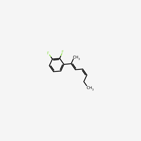 CC/C=C\C=C(/C)c1cccc(F)c1F